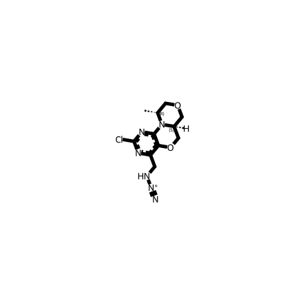 C[C@@H]1COC[C@H]2COc3c(CN[N+]#N)nc(Cl)nc3N21